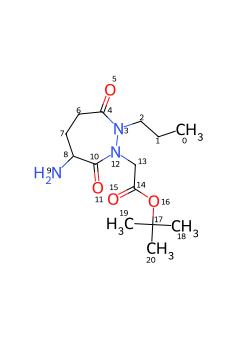 CCCN1C(=O)CCC(N)C(=O)N1CC(=O)OC(C)(C)C